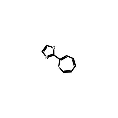 C1=CC=C(c2ncco2)SC=C1